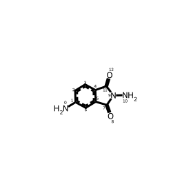 Nc1ccc2c(c1)C(=O)N(N)C2=O